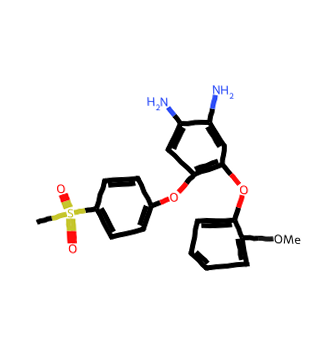 COc1ccccc1Oc1cc(N)c(N)cc1Oc1ccc(S(C)(=O)=O)cc1